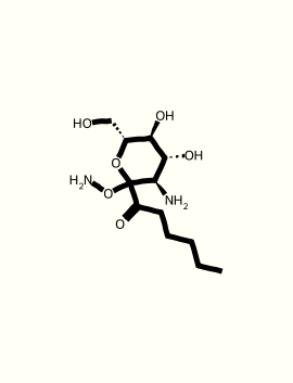 CCCCCC(=O)C1(ON)O[C@H](CO)[C@@H](O)[C@H](O)[C@H]1N